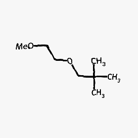 COCCOCC(C)(C)C